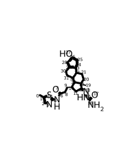 Cc1cnc(NC(=O)CC[C@@H]2C/C(=N\NC(N)=O)[C@@]3(C)CCC4c5ccc(O)cc5CCC4C23)s1